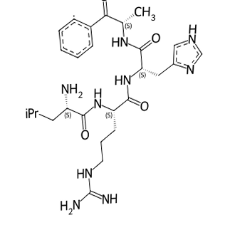 CC(C)C[C@H](N)C(=O)N[C@@H](CCCNC(=N)N)C(=O)N[C@@H](Cc1c[nH]cn1)C(=O)N[C@@H](C)C(=O)c1[c]cccc1